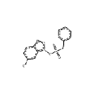 O=S(=O)(Cc1ccccc1)On1nnc2ccc(Cl)cc21